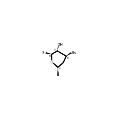 CCC(C)[C@H]1C[C@@H](C)O[C@@H](CC)[C@@H]1O